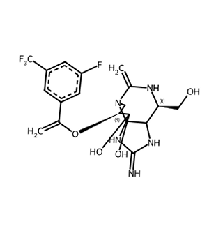 C=C(O[C@H]1CN2C(=C)N[C@@H](CO)C3NC(=N)NC32C1(O)O)c1cc(F)cc(C(F)(F)F)c1